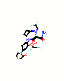 NC(=O)[C@H](C(=O)Nc1ccc(N2CCOCC2=O)cc1OC(F)F)N(CC(F)F)C1CCC1